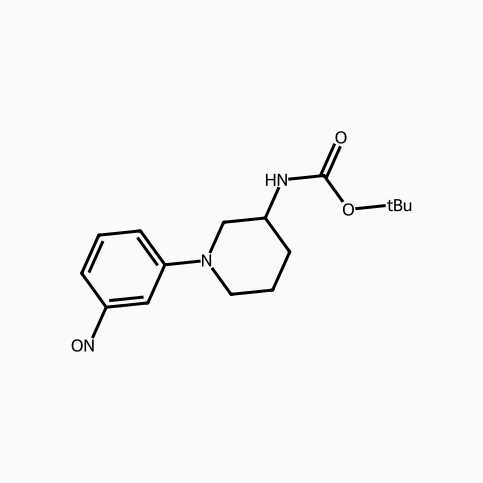 CC(C)(C)OC(=O)NC1CCCN(c2cccc(N=O)c2)C1